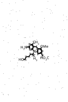 COc1cc(CC(=O)O)ccc1Cc1c(C)nc(N)nc1N[C@@H](C)CCCCO